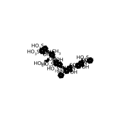 Cc1cc(N=Nc2c(S(=O)(=O)O)cc3c(S(=O)(=O)O)c(N=Nc4c(Nc5ccccc5)ccc5c(O)c(N=Nc6ccc7c(O)c(N=Nc8ccccc8S(=O)(=O)O)c(S(=O)(=O)O)cc7c6)c(S(=O)(=O)O)cc45)ccc3c2O)c(OCCCS(=O)(=O)O)cc1N=Nc1ccc(S(=O)(=O)O)c2cc(S(=O)(=O)O)cc(O)c12